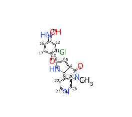 CN(C(=O)C1=CC(Cl)=C(Oc2ccc(NO)cc2)NC1)c1cccnc1